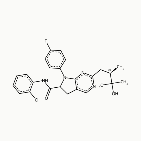 C[C@H](Cc1ncc2c(n1)N(c1ccc(F)cc1)C(C(=O)Nc1ccccc1Cl)C2)C(C)(C)O